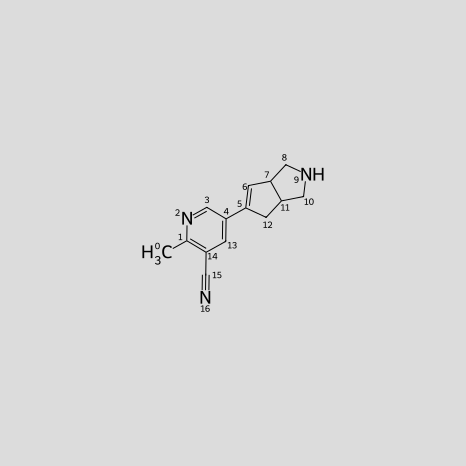 Cc1ncc(C2=CC3CNCC3C2)cc1C#N